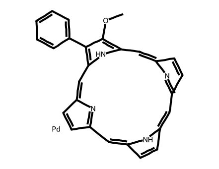 COc1c(-c2ccccc2)c2cc3nc(cc4ccc(cc5nc(cc1[nH]2)C=C5)[nH]4)C=C3.[Pd]